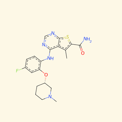 Cc1c(C(N)=O)sc2ncnc(Nc3ccc(F)cc3O[C@H]3CCCN(C)C3)c12